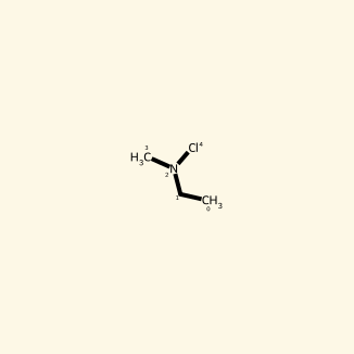 CCN(C)Cl